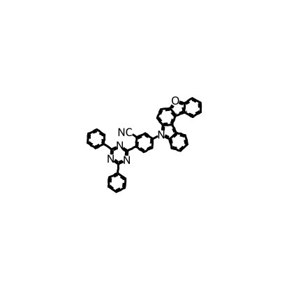 N#Cc1cc(-n2c3ccccc3c3c4c(ccc32)oc2ccccc24)ccc1-c1nc(-c2ccccc2)nc(-c2ccccc2)n1